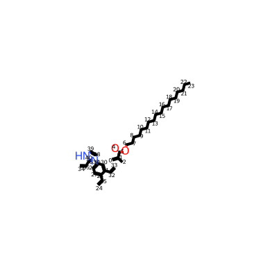 C=C(C)C(=O)OCCCCCCCCCCCCCCCCCC.C=Cc1ccccc1C=C.C=Cc1ncc[nH]1